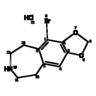 Brc1c2c(cc3c1OCO3)CCNCC2.Cl